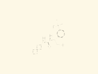 O=C(NC1CC2(CCC2)C1)NC(CO)c1cccc(C(F)(F)F)c1